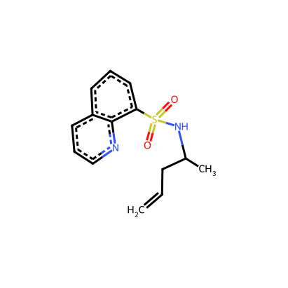 C=CCC(C)NS(=O)(=O)c1cccc2cccnc12